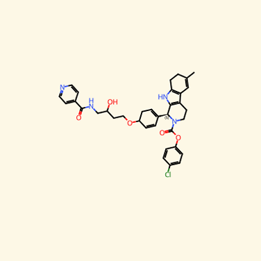 CC1=Cc2c([nH]c3c2CCN(C(=O)Oc2ccc(Cl)cc2)[C@H]3C2=CCC(OCCC(O)CNC(=O)c3ccncc3)C=C2)CC1